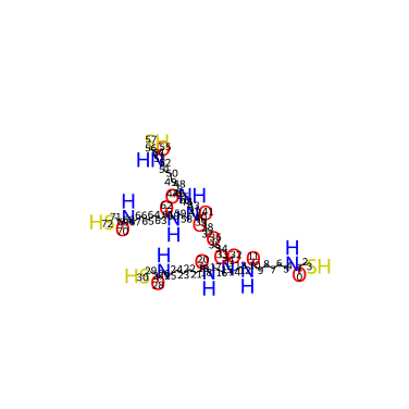 O=C(CS)NCCCCCC(=O)NCCN(CCNC(=O)CCCCCNC(=O)CS)C(=O)OCCOCCOC(=O)N(CCNC(=O)CCCCCNC(=O)CS)CCNC(=O)CCCCCNC(=O)CS